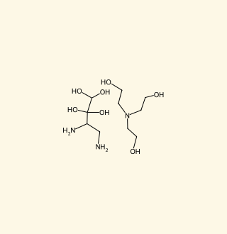 NCC(N)C(O)(O)C(O)O.OCCN(CCO)CCO